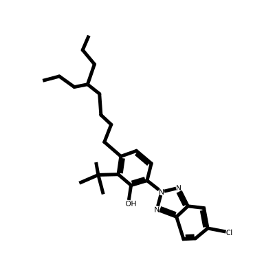 CCCC(CCC)CCCCc1ccc(-n2nc3ccc(Cl)cc3n2)c(O)c1C(C)(C)C